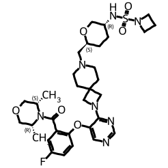 C[C@@H]1COC[C@H](C)N1C(=O)c1cc(F)ccc1Oc1cncnc1N1CC2(CCN(C[C@@H]3CC[C@@H](NS(=O)(=O)N4CCC4)CO3)CC2)C1